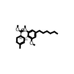 CCCCCCc1cc(OC)c([C@@H]2C=C(C)CC[C@H]2C(=O)OC)c(OC)c1